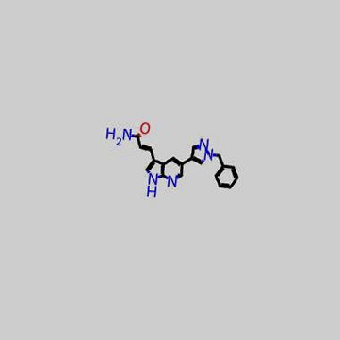 NC(=O)/C=C/c1c[nH]c2ncc(-c3cnn(Cc4ccccc4)c3)cc12